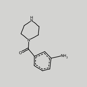 Nc1cccc(C(=O)N2CCNCC2)c1